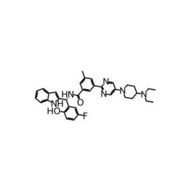 CCN(CC)C1CCN(c2cnc(-c3cc(C)cc(C(=O)N[C@@H](c4cc5ccccc5[nH]4)c4cc(F)ccc4O)c3)nc2)CC1